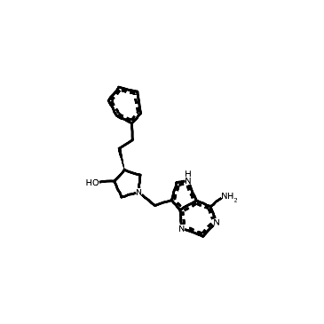 Nc1ncnc2c(CN3CC(O)[C@@H](CCc4ccccc4)C3)c[nH]c12